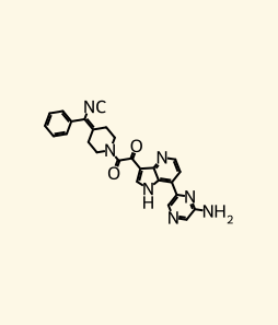 [C-]#[N+]C(=C1CCN(C(=O)C(=O)c2c[nH]c3c(-c4cncc(N)n4)ccnc23)CC1)c1ccccc1